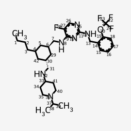 CCCCC1C[C@@H](CNc2nc(NCc3ccccc3OC(F)(F)F)ncc2F)C[C@H](CNC2CCN(C(C)C)CC2)C1